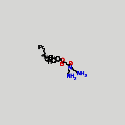 CC(C)CCC[C@@H](C)[C@H]1CC[C@H]2[C@@H]3CC=C4C[C@@H](OC(=O)CCC(=O)N(CCCN)CCCCN)CC[C@]4(C)C3CC[C@]12C